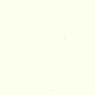 CC(C)CCCC[S+](C)[O-]